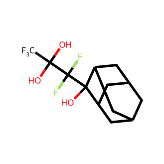 OC1(C(F)(F)C(O)(O)C(F)(F)F)C2CC3CC(C2)CC1C3